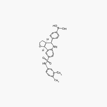 Cc1ccc(NS(=O)(=O)c2ccc3c(c2)[C@H]2OCC[C@H]2C(c2ccc(B(O)O)cc2)N3)cc1C